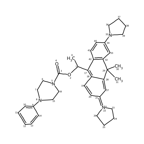 CC(OC(=O)N1CCN(c2ccccc2)CC1)C1=C2C=CC(=[N+]3CCCC3)C=C2C(C)(C)c2cc(N3CCCC3)ccc21